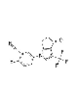 N#Cc1cc(-n2cc(C(F)(F)F)c3c2CCC3=O)ccc1F